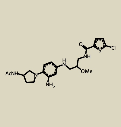 COC(CNC(=O)c1ccc(Cl)s1)CNc1ccc(N2CCC(NC(C)=O)C2)c(N)c1